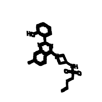 CCCCS(=O)(=O)NC1CN(c2nc(-c3ccccc3O)nc3cc(C)ccc23)C1